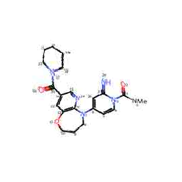 CNC(=O)n1ccc(N2CCCOc3cc(C(=O)N4CCCCC4)cnc32)cc1=N